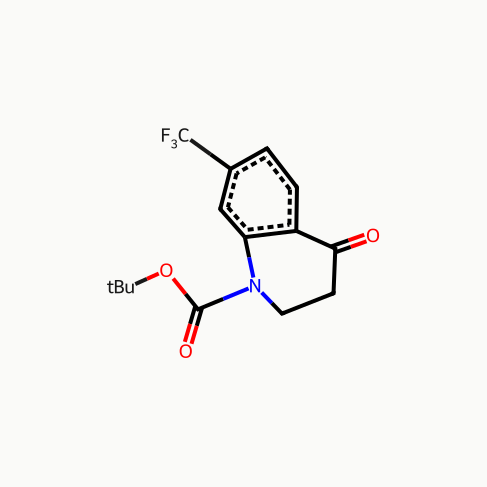 CC(C)(C)OC(=O)N1CCC(=O)c2ccc(C(F)(F)F)cc21